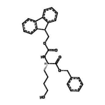 O=C(N[C@@H](CCCCO)C(=O)OCc1ccccc1)OCC1c2ccccc2-c2ccccc21